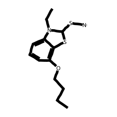 CCCCOc1cccc2c1SC(S[N])N2CC